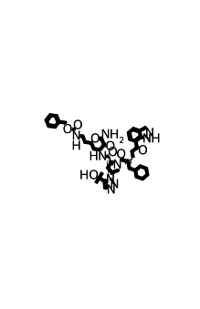 CC(C)(O)c1cnnn1[C@H]1C[C@@H](C(=O)NC(CCCCNC(=O)OCc2ccccc2)C(=O)C(N)=O)N(C(=O)[C@H](CCC(=O)c2cccc3cn[nH]c23)CC2CCCCC2)C1